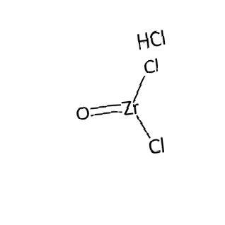 Cl.[O]=[Zr]([Cl])[Cl]